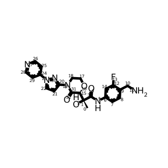 C[C@](O)(C(=O)Nc1ccc(CN)c(F)c1)[C@H]1OCCN(c2ccn(-c3ccncc3)n2)C1=O